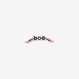 Cc1cc(C2CCC(c3ccc(OCCCCO)cc3)CC2)ccc1OCCCCO